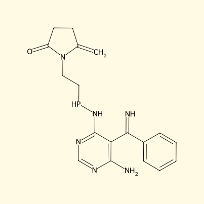 C=C1CCC(=O)N1CCPNc1ncnc(N)c1C(=N)c1ccccc1